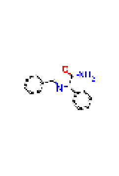 NC(=O)[C@H](N=Cc1ccccc1)c1ccccc1